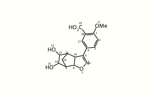 COc1ccc(C2=NOC3C4CC(C(O)C4O)C23)cc1C(=O)O